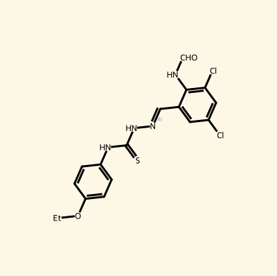 CCOc1ccc(NC(=S)N/N=C/c2cc(Cl)cc(Cl)c2NC=O)cc1